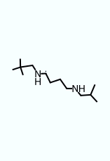 CC(C)CNCCC[CH]NCC(C)(C)C